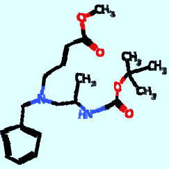 COC(=O)/C=C/CN(Cc1ccccc1)CC(C)NC(=O)OC(C)(C)C